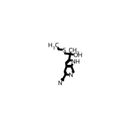 CCSCC(C)(O)c1cc2cc(C#N)ncc2[nH]1